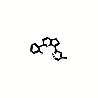 Cc1cnnc(C2=CCc3ccc(-c4ccccc4F)nc32)c1